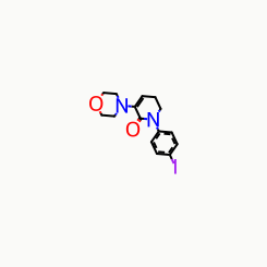 O=C1C(N2CCOCC2)=CCCN1c1ccc(I)cc1